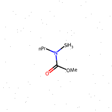 CCCN([SiH3])C(=O)OC